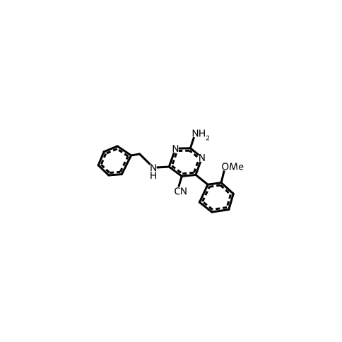 COc1ccccc1-c1nc(N)nc(NCc2ccccc2)c1C#N